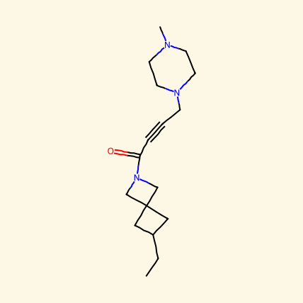 CCC1CC2(C1)CN(C(=O)C#CCN1CCN(C)CC1)C2